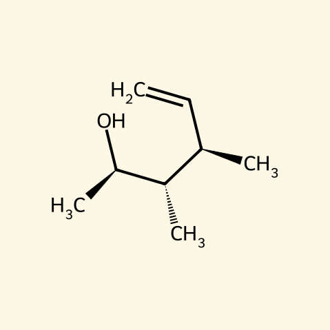 C=C[C@@H](C)[C@H](C)[C@@H](C)O